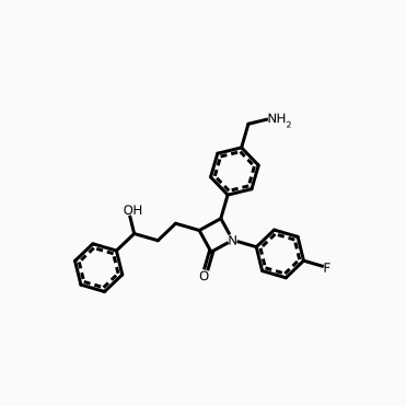 NCc1ccc(C2C(CCC(O)c3ccccc3)C(=O)N2c2ccc(F)cc2)cc1